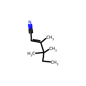 CCC(C)(C)C(C)=CC#N